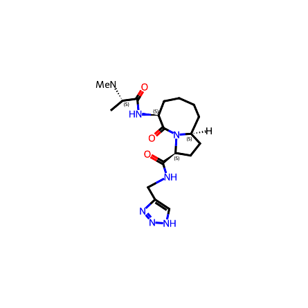 CN[C@@H](C)C(=O)N[C@H]1CCCC[C@H]2CC[C@@H](C(=O)NCc3c[nH]nn3)N2C1=O